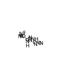 CN1CCN(c2cc(Nc3ncc4c(-c5cc(F)c6ncnn6c5)c[nH]c4n3)ccn2)CC1